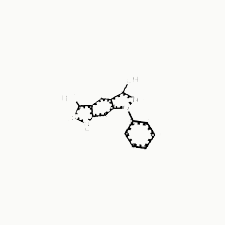 Cc1n[nH]c2cc3c(cc12)c(C)nn3-c1ccccc1